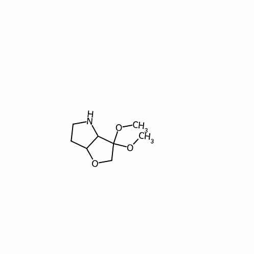 COC1(OC)COC2CCNC21